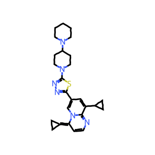 C1=CC(=C2CC2)N2C=C(c3nnc(N4CCC(N5CCCCC5)CC4)s3)C=C(C3CC3)C2=N1